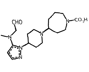 CN(CC=O)c1ccnn1C1CCN(C2CCCN(C(=O)O)CC2)CC1